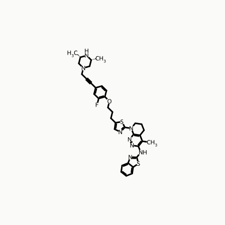 Cc1c(Nc2nc3ccccc3s2)nnc2c1CCCN2c1ncc(CCCOc2ccc(C#CCN3C[C@@H](C)N[C@@H](C)C3)cc2F)s1